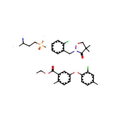 CC1(C)CON(Cc2ccccc2Cl)C1=O.CCOC(=O)COC(=O)c1cc(Oc2ccc(C(F)(F)F)cc2Cl)ccc1[N+](=O)[O-].CP(=O)(O)CCC(N)C(=O)O